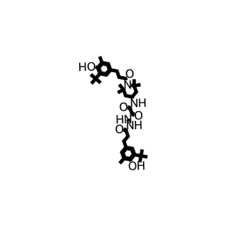 Cc1cc(CCC(=O)NNC(=O)C(=O)NC2CC(C)(C)N(C(=O)CCc3cc(C)c(O)c(C(C)(C)C)c3)C(C)(C)C2)cc(C(C)(C)C)c1O